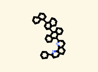 c1ccc(-c2ccc3ccc4ccc(-c5c6ccccc6c(-c6ccc(-c7cccc8ccccc78)c7ccccc67)c6ccccc56)nc4c3n2)cc1